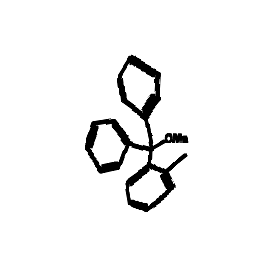 COC(c1ccccc1)(c1ccccc1)c1ccccc1C